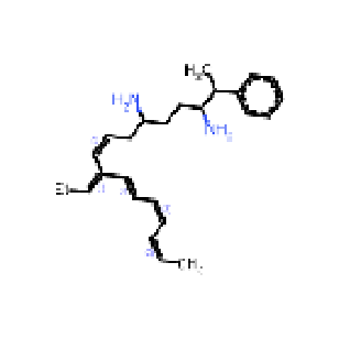 C\C=C/C=C\C=C\C(\C=C/CC(N)CCC(N)C(C)c1ccccc1)=C\CC